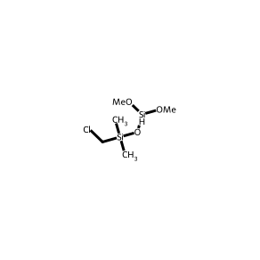 CO[SiH](OC)O[Si](C)(C)CCl